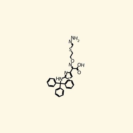 NN=CSCCON=C(C(=O)O)c1csc(NC(c2ccccc2)(c2ccccc2)c2ccccc2)n1